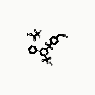 CS(=O)(=O)N1C[C@H](c2ccccc2)C[C@H](S(=O)(=O)c2ccc(CN)cc2)C1.O=C(O)C(F)(F)F